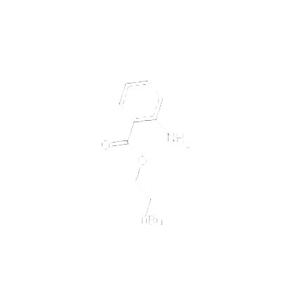 CCCCC=COC(=O)c1ccccc1N